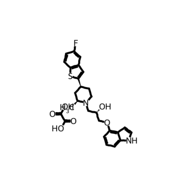 C[C@H]1C[C@@H](c2cc3cc(F)ccc3s2)CCN1C[C@H](O)COc1cccc2[nH]ccc12.O=C(O)C(=O)O